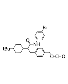 CC(C)(C)C1CCC(C(Cc2ccc(COC=O)cc2)C(=O)Nc2ccc(Br)cc2)CC1